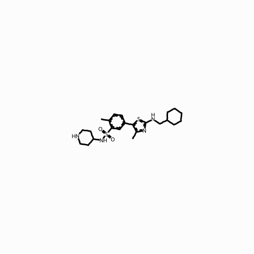 Cc1ccc(-c2sc(NCC3CCCCC3)nc2C)cc1S(=O)(=O)NC1CCNCC1